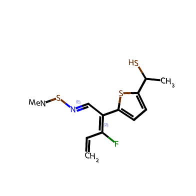 C=C/C(F)=C(\C=N\SNC)c1ccc(C(C)S)s1